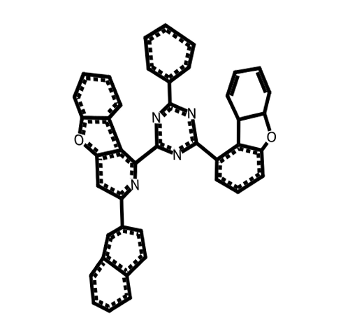 C1=CC2Oc3cccc(-c4nc(-c5ccccc5)nc(-c5nc(-c6ccc7ccccc7c6)cc6oc7ccccc7c56)n4)c3C2C=C1